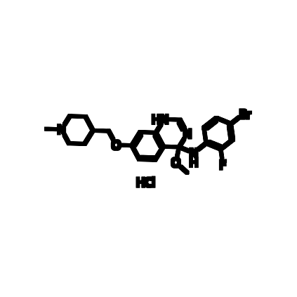 COC1(Nc2ccc(Br)cc2F)N=CNc2cc(OCC3CCN(C)CC3)ccc21.Cl